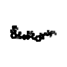 COC(CN1CCc2sc(OCC(C)(F)F)nc2C1)C1CC2(CC(NC(=O)C3CCCc4nn(C)cc43)C2)C1